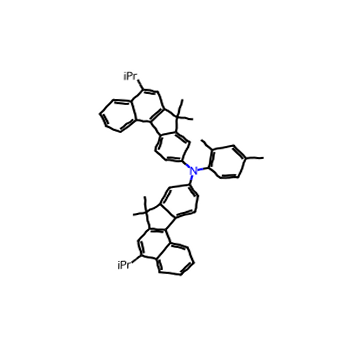 Cc1ccc(N(c2ccc3c(c2)C(C)(C)c2cc(C(C)C)c4ccccc4c2-3)c2ccc3c(c2)C(C)(C)c2cc(C(C)C)c4ccccc4c2-3)c(C)c1